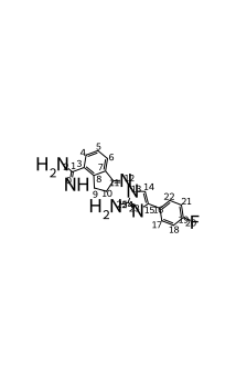 N=C(N)c1cccc2c1CCC2=Nn1cc(-c2ccc(F)cc2)nc1N